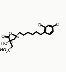 O=C(O)C[C@]1(O)C[C@H](CCCCCCc2ccc(Cl)cc2Cl)OC1=O